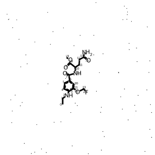 CCNc1ccc(C(=O)NC(CCC(N)=O)C(=O)OC)cc1OCF